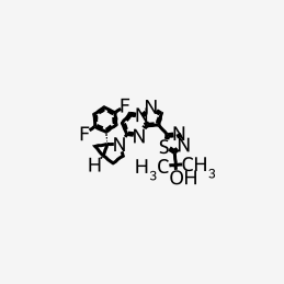 CC(C)(O)c1nnc(-c2cnn3ccc(N4CC[C@H]5C[C@]54c4cc(F)ccc4F)nc23)s1